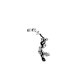 CCOC(=O)CCCn1nc2ccc(C(=O)NCC(NC(=O)OCc3ccccc3)C(=O)OC(C)(C)C)cn2c1=O